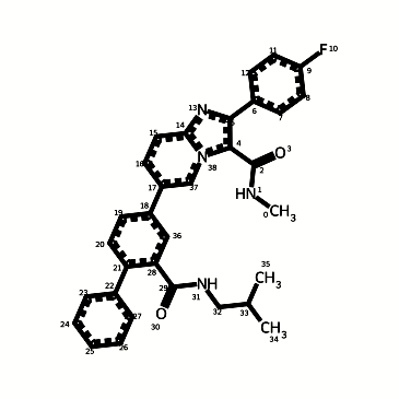 CNC(=O)c1c(-c2ccc(F)cc2)nc2ccc(-c3ccc(-c4ccccc4)c(C(=O)NCC(C)C)c3)cn12